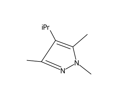 Cc1nn(C)c(C)c1C(C)C